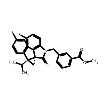 COC(=O)c1cccc(CN2C(=O)[C@]3(C[C@@]3(c3ccc(I)cc3)C(C)C)c3cc(F)ccc32)c1